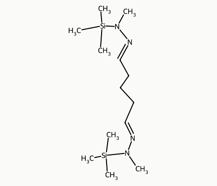 CN(/N=C/CCC/C=N/N(C)[Si](C)(C)C)[Si](C)(C)C